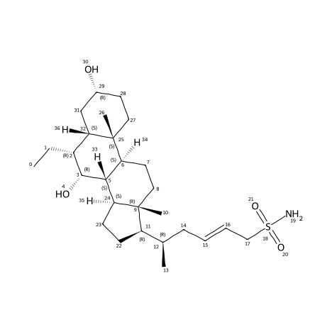 CC[C@H]1[C@@H](O)[C@@H]2[C@H](CC[C@]3(C)[C@@H]([C@H](C)CC=CCS(N)(=O)=O)CC[C@@H]23)[C@@]2(C)CC[C@@H](O)C[C@@H]12